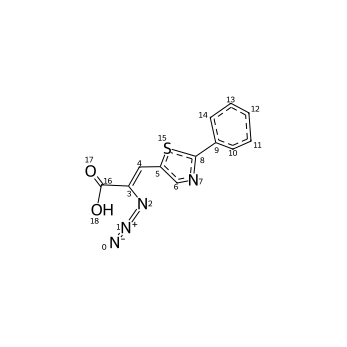 [N-]=[N+]=N/C(=C\c1cnc(-c2ccccc2)s1)C(=O)O